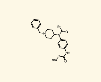 CCC(=O)N(c1ccc(NC(=O)OC(C)(C)C)cc1)C1CCN(Cc2ccccc2)CC1